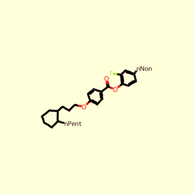 CCCCCCCCCc1ccc(OC(=O)c2ccc(OCCCC3CCCCC3CCCCC)cc2)c(F)c1